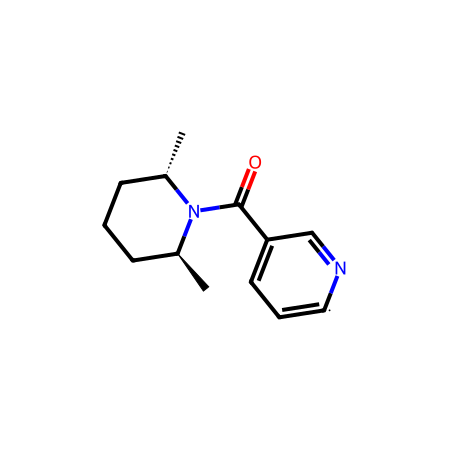 C[C@H]1CCC[C@H](C)N1C(=O)c1cc[c]nc1